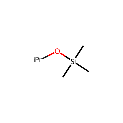 [CH2]C(C)O[Si](C)(C)C